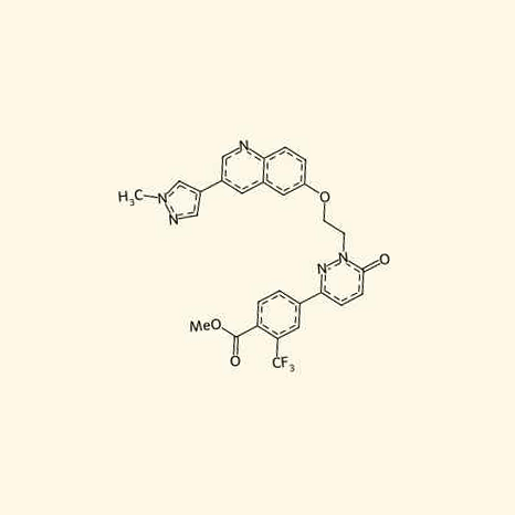 COC(=O)c1ccc(-c2ccc(=O)n(CCOc3ccc4ncc(-c5cnn(C)c5)cc4c3)n2)cc1C(F)(F)F